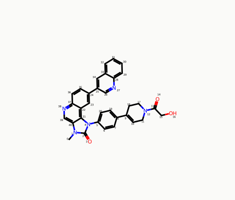 Cn1c(=O)n(-c2ccc(C3=CCN(C(=O)CO)CC3)cc2)c2c3cc(-c4cnc5ccccc5c4)ccc3ncc21